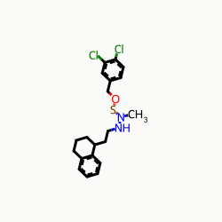 CN(NCCC1CCCc2ccccc21)SOCc1ccc(Cl)c(Cl)c1